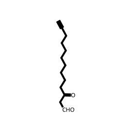 C#CCCCCCCCCC(=O)CC=O